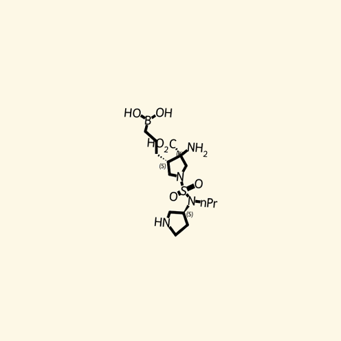 CCCN([C@H]1CCNC1)S(=O)(=O)N1C[C@H](CCCB(O)O)[C@](N)(C(=O)O)C1